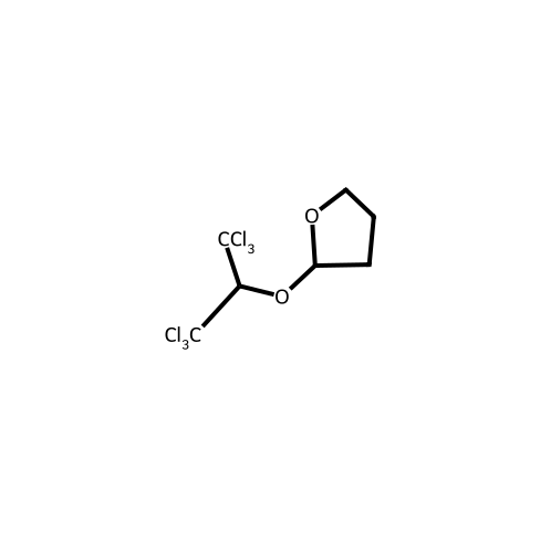 ClC(Cl)(Cl)C(OC1CCCO1)C(Cl)(Cl)Cl